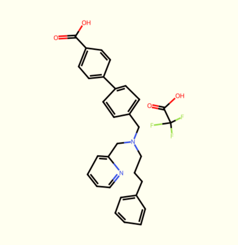 O=C(O)C(F)(F)F.O=C(O)c1ccc(-c2ccc(CN(CCCc3ccccc3)Cc3ccccn3)cc2)cc1